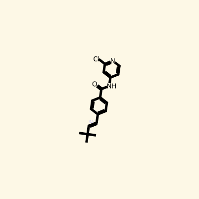 CC(C)(C)/C=C/c1ccc(C(=O)Nc2ccnc(Cl)c2)cc1